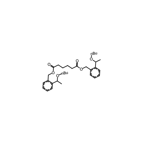 CCCCOC(C)c1ccccc1COC(=O)CCCCC(=O)OCc1ccccc1C(C)OCCCC